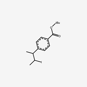 CC(I)C(C)c1ccc(C(=O)OC(C)(C)C)cc1